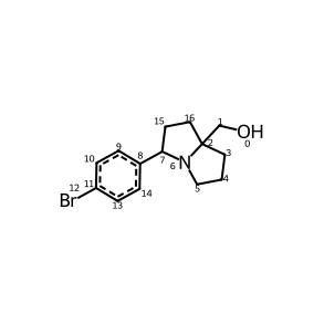 OCC12CCCN1C(c1ccc(Br)cc1)CC2